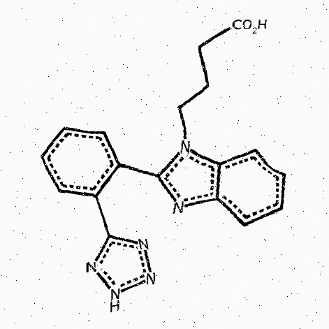 O=C(O)CCCn1c(-c2ccccc2-c2nn[nH]n2)nc2ccccc21